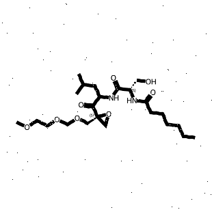 CCCCCCC(=O)N[C@@H](CO)C(=O)NC(CC(C)C)C(=O)[C@@]1(COCOCCOC)CO1